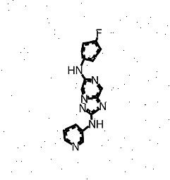 Fc1ccc(Nc2cn3nc(Nc4cccnc4)nc3cn2)cc1